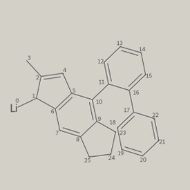 [Li][CH]1C(C)=Cc2c1cc1c(c2-c2ccccc2-c2ccccc2)CCC1